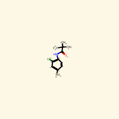 CC(=O)OC(C)(C(=O)Nc1ccc([N+](=O)[O-])cc1Cl)C(F)(F)F